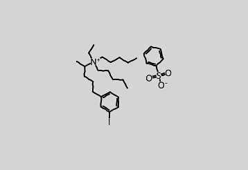 CCCCC[N+](CC)(CCCCC)C(C)CCCc1cccc(I)c1.O=S(=O)([O-])c1ccccc1